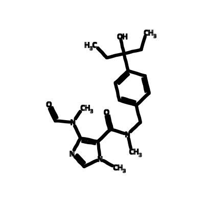 CCC(O)(CC)c1ccc(CN(C)C(=O)c2c(N(C)C=O)ncn2C)cc1